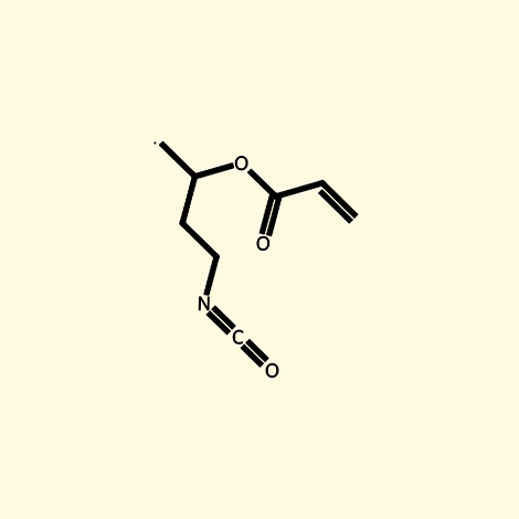 [CH2]C(CCN=C=O)OC(=O)C=C